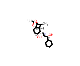 CC1C(=O)[C@]2(OCC(F)(F)F)CC[C@H](O)[C@@H](/C=C/[C@H](O)C3CCCCC3)[C@H]12